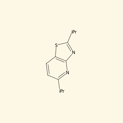 CC(C)c1ccc2sc(C(C)C)nc2n1